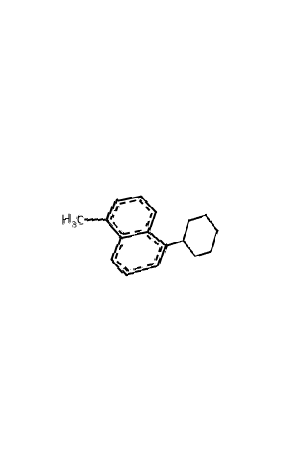 Cc1cccc2c(C3CCCCC3)cccc12